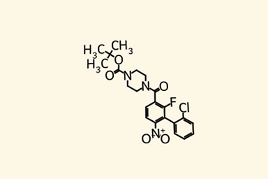 CC(C)(C)OC(=O)N1CCN(C(=O)c2ccc([N+](=O)[O-])c(-c3ccccc3Cl)c2F)CC1